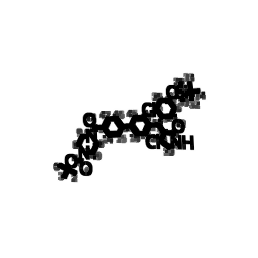 CC(C)(C)OC(=O)N1CCN(C(=O)c2ccc(-c3cc(Cl)c([C@H](C4CCC(O[Si](C)(C)C(C)(C)C)CC4)C4CCNC4=O)c(Cl)c3)cc2)CC1